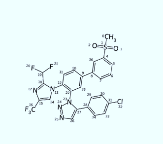 CS(=O)(=O)c1cccc(-c2ccc(-n3cc(C(F)(F)F)nc3C(F)F)c(-n3nncc3-c3ccc(Cl)cc3)c2)c1